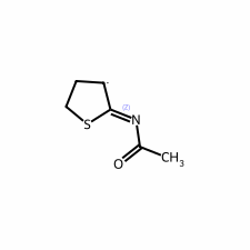 CC(=O)/N=C1/[CH]CCS1